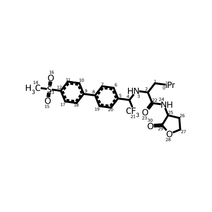 CC(C)CC(NC(c1ccc(-c2ccc(S(C)(=O)=O)cc2)cc1)C(F)(F)F)C(=O)NC1CCOC1=O